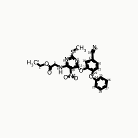 CCOC(=O)CNc1nc(SC)nc(Oc2cc(C#N)ccc2Oc2ccccc2)c1[N+](=O)[O-]